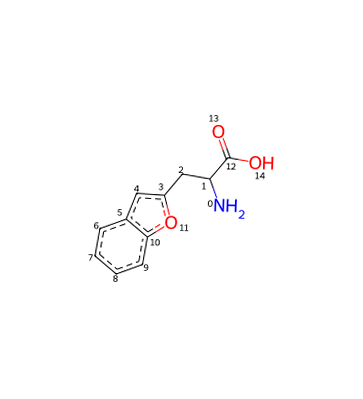 NC(Cc1cc2ccccc2o1)C(=O)O